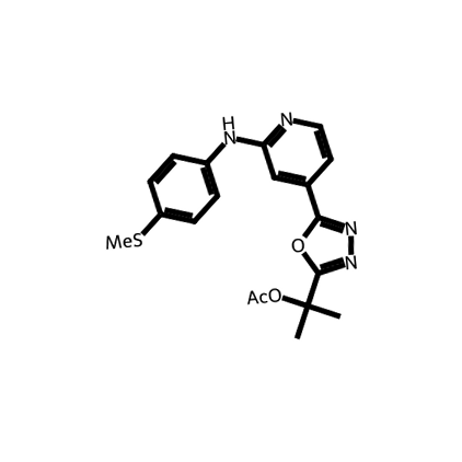 CSc1ccc(Nc2cc(-c3nnc(C(C)(C)OC(C)=O)o3)ccn2)cc1